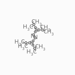 CCc1ccc(-c2ccc(N(c3ccc(-c4ccnc(-c5cc(-c6ccc(N(c7ccc(-c8ccc(CC)cc8CC)cc7)c7ccc(-c8ccc(CC)cc8CC)cc7)cc6)ccn5)c4)cc3)c3ccc(-c4ccc(CC)cc4CC)cc3)cc2)c(CC)c1